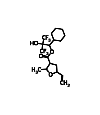 C=CC1CC(C(=O)OC(C2CCCCC2)C(O)(C(F)(F)F)C(F)(F)F)C(C)O1